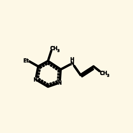 CC=CNc1ncnc(CC)c1C